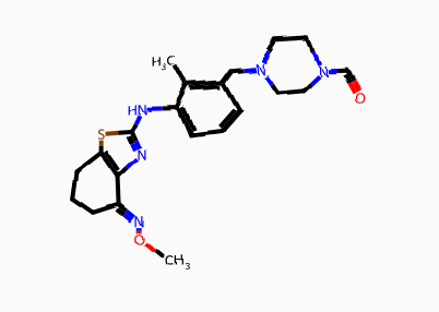 CON=C1CCCc2sc(Nc3cccc(CN4CCN(C=O)CC4)c3C)nc21